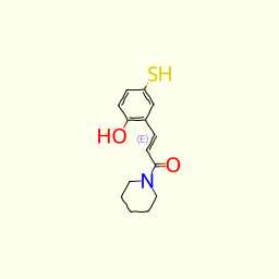 O=C(/C=C/c1cc(S)ccc1O)N1CCCCC1